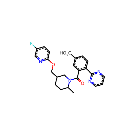 CC1CCC(COc2ccc(F)cn2)CN1C(=O)c1cc(C(=O)O)ccc1-c1ncccn1